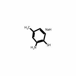 Cc1ccc(S)c(N)c1.[NaH]